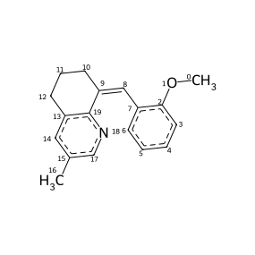 COc1ccccc1/C=C1/CCCc2cc(C)cnc21